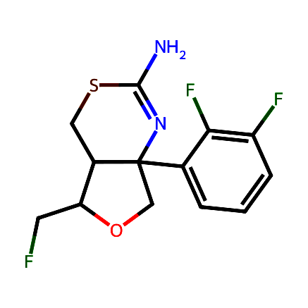 NC1=NC2(c3cccc(F)c3F)COC(CF)C2CS1